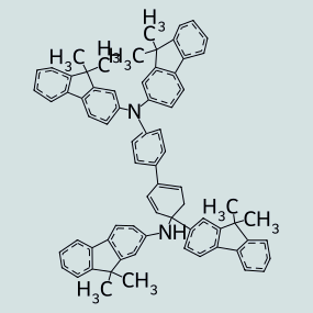 CC1(C)c2ccccc2-c2ccc(NC3(c4ccc5c(c4)C(C)(C)c4ccccc4-5)C=CC(c4ccc(N(c5ccc6c(c5)C(C)(C)c5ccccc5-6)c5ccc6c(c5)C(C)(C)c5ccccc5-6)cc4)=CC3)cc21